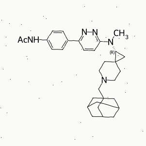 CC(=O)Nc1ccc(-c2ccc(N(C)[C@@H]3CC34CCN(CC35CC6CC(CC(C6)C3)C5)CC4)nn2)cc1